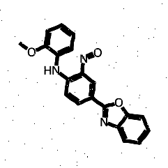 COc1ccccc1Nc1ccc(-c2nc3ccccc3o2)cc1N=O